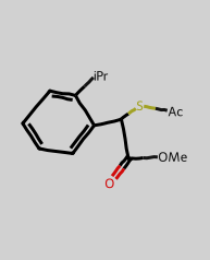 COC(=O)C(SC(C)=O)c1ccccc1C(C)C